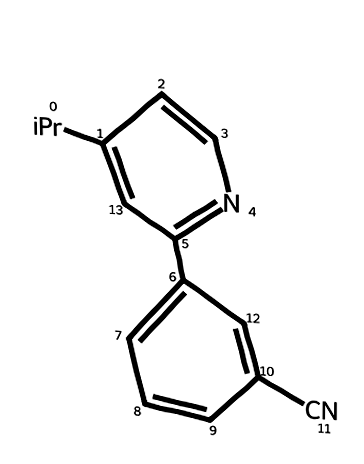 CC(C)c1ccnc(-c2cccc(C#N)c2)c1